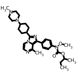 CCC(C)OC(=O)N(OC)c1ccc(-c2nc(C3CCC(N4CCN(C)CC4)CC3)n3ccnc(C)c23)cc1